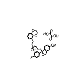 CN(CCCC1(c2ccc(F)cc2)OCc2cc(C#N)ccc21)CCc1cccc2c1OCCO2.O=C(O)C(=O)O